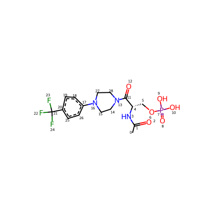 CC(=O)N[C@@H](COP(=O)(O)O)C(=O)N1CCN(c2ccc(C(F)(F)F)cc2)CC1